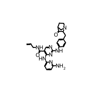 C=CCNC(=O)c1cnc(Nc2ccc(CC3C(=O)C4CCN3C4)cc2)nc1Nc1cccc(N)n1